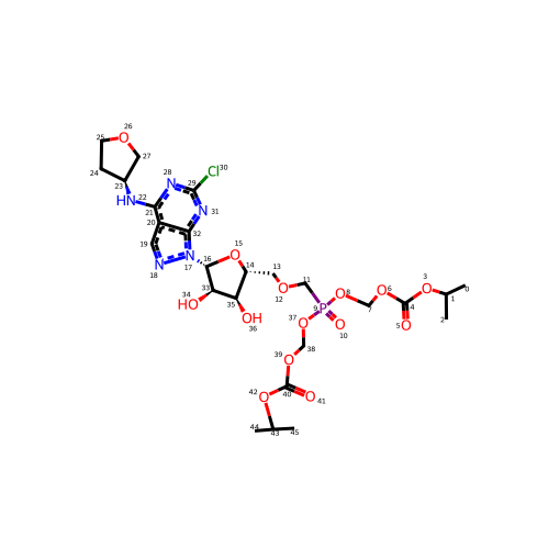 CC(C)OC(=O)OCOP(=O)(COC[C@H]1O[C@@H](n2ncc3c(N[C@H]4CCOC4)nc(Cl)nc32)[C@H](O)[C@@H]1O)OCOC(=O)OC(C)C